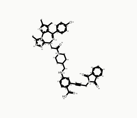 Cc1sc2c(c1C)C(c1ccc(Cl)cc1)=N[C@@H](CC(=O)N1CCC(CNc3ccc(C(=O)O)c(C#CCN4C(=O)c5ccccc5C4=O)c3)CC1)c1nnc(C)n1-2